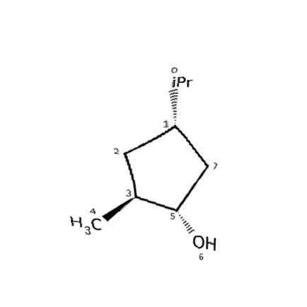 CC(C)[C@H]1C[C@H](C)[C@@H](O)C1